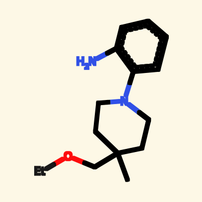 CCOCC1(C)CCN(c2ccccc2N)CC1